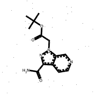 CC(C)(C)OC(=O)Cn1nc(C(N)=O)c2ccncc21